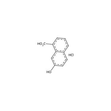 Cl.O=C(O)c1cccc2ccc(O)cc12